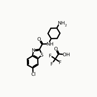 NC1CCC(NC(=O)c2nc3ccc(Cl)cc3s2)CC1.O=C(O)C(F)(F)F